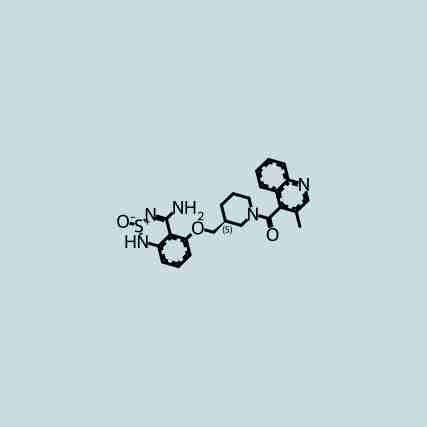 Cc1cnc2ccccc2c1C(=O)N1CCC[C@H](COc2cccc3c2C(N)=N[S+]([O-])N3)C1